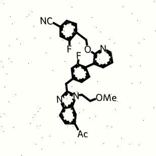 COCCn1c(Cc2ccc(-c3cccnc3OCc3ccc(C#N)cc3F)c(F)c2)nc2ccc(C(C)=O)cc21